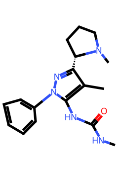 CNC(=O)Nc1c(C)c([C@@H]2CCCN2C)nn1-c1ccccc1